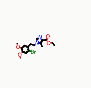 CCOC(=O)c1ncn(CCc2cc(OC)c(OC)cc2Br)c1C